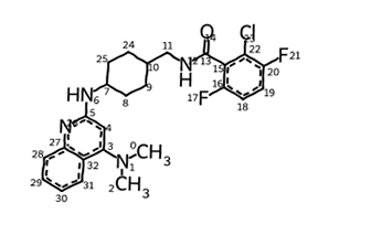 CN(C)c1cc(NC2CCC(CNC(=O)c3c(F)ccc(F)c3Cl)CC2)nc2ccccc12